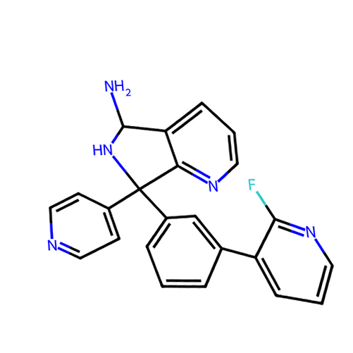 NC1NC(c2ccncc2)(c2cccc(-c3cccnc3F)c2)c2ncccc21